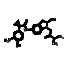 Cc1cc(C2(C(=O)Nc3ccc4c(c3)CC(C(C)(C)C)N4CC(=O)N(C)C)CC2)ccc1O